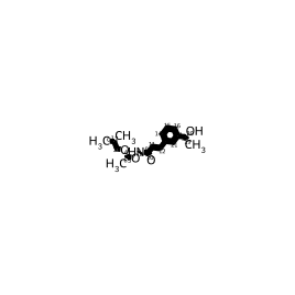 CC(C)COC(C)ONC(=O)C=Cc1cccc(C(C)O)c1